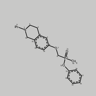 CC(C)N1CCc2cc(OCP(C)(=O)Oc3ccccc3)ccc2C1